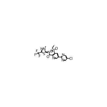 CCS(=O)(=O)c1cc(-c2ncc(Cl)cn2)cnc1C(=O)/N=c1\sc(C(F)(F)F)nn1C